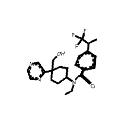 CCN(C(=O)c1ccc(C(C)C(F)(F)F)cc1)C1CCC(CO)(c2cnccn2)CC1